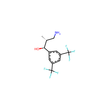 C[C@H](CN)[C@H](O)c1cc(C(F)(F)F)cc(C(F)(F)F)c1